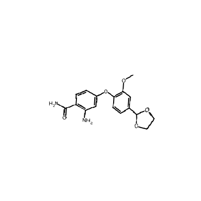 COc1cc(C2OCCO2)ccc1Oc1ccc(C(N)=O)c(N)c1